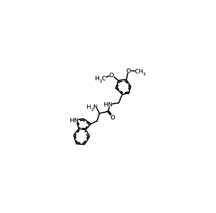 COc1ccc(CNC(=O)C(N)Cc2c[nH]c3ccccc23)cc1OC